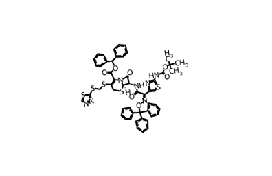 CC(C)(C)OC(=O)Nc1nc(/C(=N/OC(c2ccccc2)(c2ccccc2)c2ccccc2)C(=O)N[C@@H]2C(=O)N3C(C(=O)OC(c4ccccc4)c4ccccc4)=C(SCSc4nncs4)CS[C@H]23)cs1